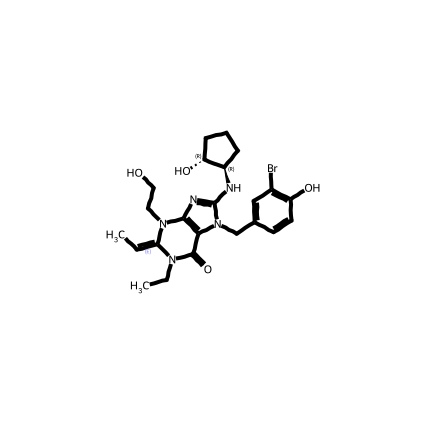 C/C=C1/N(CC)C(=O)c2c(nc(N[C@@H]3CCC[C@H]3O)n2Cc2ccc(O)c(Br)c2)N1CCO